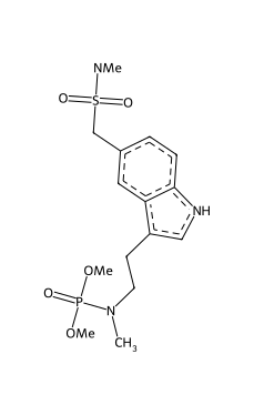 CNS(=O)(=O)Cc1ccc2[nH]cc(CCN(C)P(=O)(OC)OC)c2c1